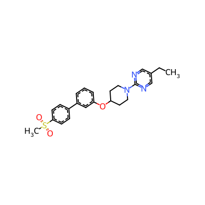 CCc1cnc(N2CCC(Oc3cccc(-c4ccc(S(C)(=O)=O)cc4)c3)CC2)nc1